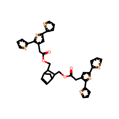 O=C(Cc1cc(-c2cccs2)sc1-c1cccs1)OCC1C2C=CC(C2)C1COC(=O)Cc1cc(-c2cccs2)sc1-c1cccs1